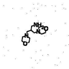 NCC(CN1CCOCC1)CN1CCOCC1